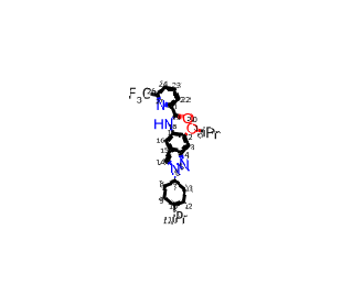 CC(C)Oc1cc2nn([C@H]3CC[C@H](C(C)C)CC3)cc2cc1NC(=O)c1cccc(C(F)(F)F)n1